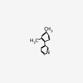 Cc1ccc(-c2cc[c]nc2)c(C)c1